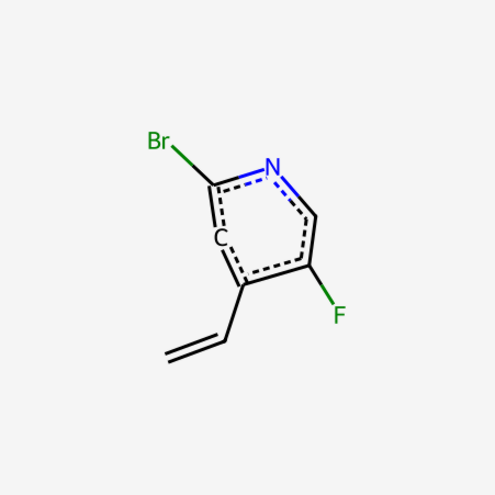 C=Cc1cc(Br)ncc1F